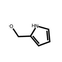 [O]Cc1ccc[nH]1